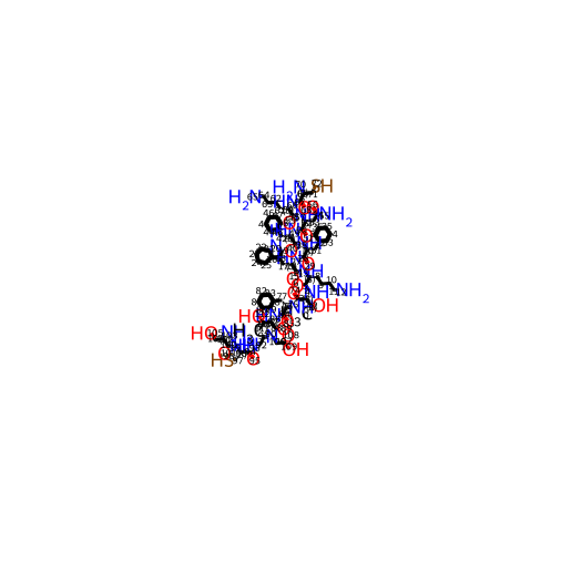 C[C@@H](O)[C@H](NC(=O)[C@H](CCCCN)NC(=O)[C@H](Cc1c[nH]c2ccccc12)NC(=O)[C@H](Cc1ccccc1)NC(=O)[C@H](Cc1ccccc1)NC(=O)[C@H](CC(N)=O)NC(=O)[C@H](CCCCN)NC(=O)[C@@H](N)CS)C(=O)N[C@@H](Cc1ccccc1)C(=O)N[C@H](C(=O)N(CCNC(=O)[C@H](CS)NC(=O)[C@@H](N)CO)CC(=O)O)[C@@H](C)O